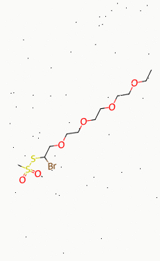 CCOCCOCCOCCOCC(Br)SS(C)(=O)=O